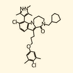 Cc1cc(OCCCc2c3n(c4c(-c5c(C)nn(C)c5C)c(Cl)ccc24)CCCN(CC2CCCCC2)C3=O)cc(C)c1Cl